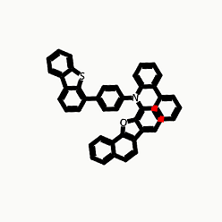 c1ccc(-c2ccccc2N(c2ccc(-c3cccc4c3sc3ccccc34)cc2)c2cccc3c2oc2c4ccccc4ccc32)cc1